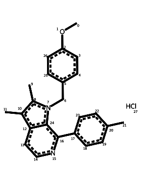 COc1ccc(Cn2c(C)c(C)c3ccnc(-c4ccc(C)cc4)c32)cc1.Cl